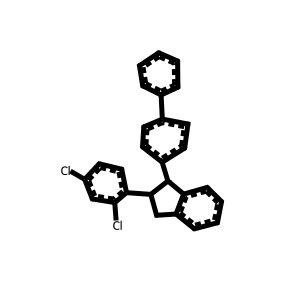 Clc1ccc(C2Cc3ccccc3[C]2c2ccc(-c3ccccc3)cc2)c(Cl)c1